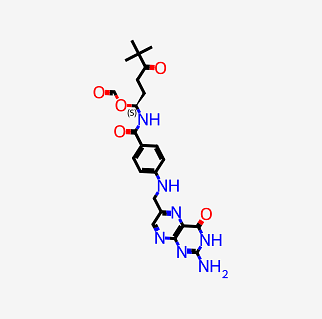 CC(C)(C)C(=O)CC[C@@H](NC(=O)c1ccc(NCc2cnc3nc(N)[nH]c(=O)c3n2)cc1)OC=O